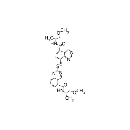 COCC(C)NC(=O)c1cccc2nc(SSc3ccc(C(=O)NC(C)COC)c4cncnc34)ncc12